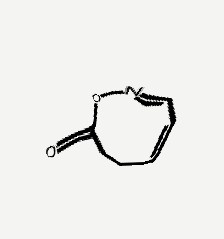 O=C1CC=CC=NO1